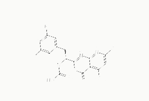 Cc1cc(C)c2c(=O)oc([C@H](Cc3cc(F)cc(F)c3)NC(=O)O)nc2n1